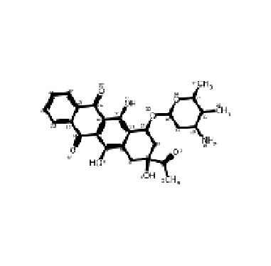 CC(=O)C1(O)Cc2c(O)c3c(c(O)c2C(OC2CC(N)C(C)C(C)O2)C1)C(=O)c1ccccc1C3=O